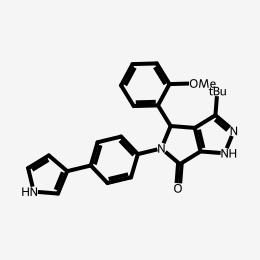 COc1ccccc1C1c2c(C(C)(C)C)n[nH]c2C(=O)N1c1ccc(-c2cc[nH]c2)cc1